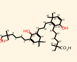 CC1(C)C=C(CCCCC(C)(C)CO)C(O)C(CCCC2=C(CCCCC(C)(C)C(=O)O)C(O)C=CC2(C)C)=C1